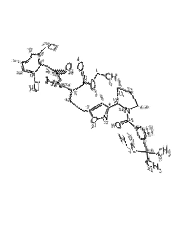 CCOC(=O)C(Cc1cc(C2CCCN2C(=O)OC(C)(C)C)no1)NC(=O)c1c(Cl)cccc1Cl